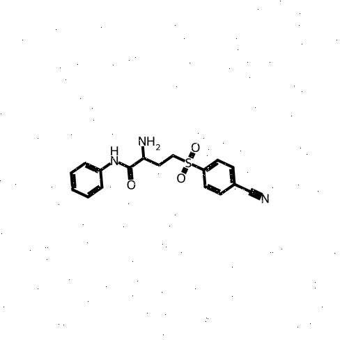 N#Cc1ccc(S(=O)(=O)CCC(N)C(=O)Nc2ccccc2)cc1